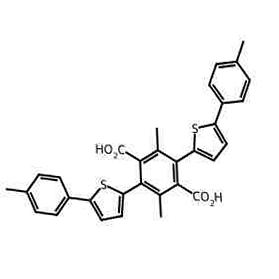 Cc1ccc(-c2ccc(-c3c(C)c(C(=O)O)c(-c4ccc(-c5ccc(C)cc5)s4)c(C)c3C(=O)O)s2)cc1